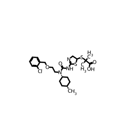 CC(C)(SC1CN=C(NC(=O)N(CCOCc2ccccc2Cl)[C@H]2CC[C@H](C)CC2)S1)C(=O)O